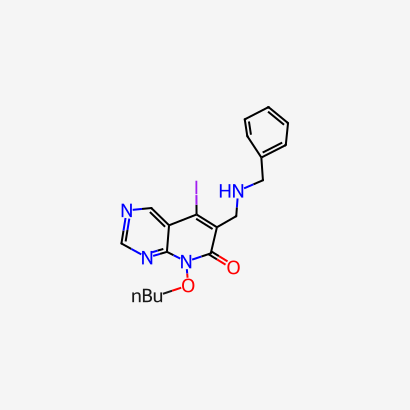 CCCCOn1c(=O)c(CNCc2ccccc2)c(I)c2cncnc21